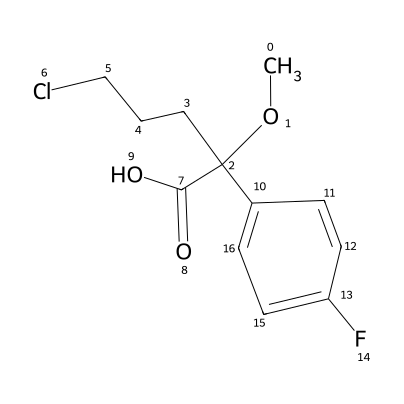 COC(CCCCl)(C(=O)O)c1ccc(F)cc1